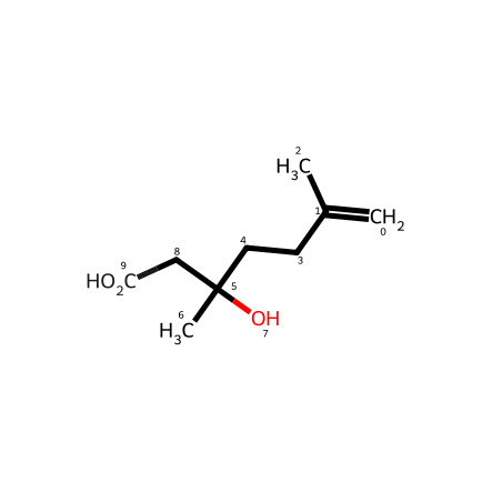 C=C(C)CCC(C)(O)CC(=O)O